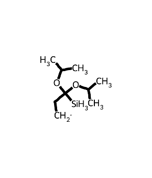 [CH2]CC([SiH3])(OC(C)C)OC(C)C